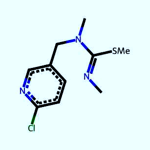 CN=C(SC)N(C)Cc1ccc(Cl)nc1